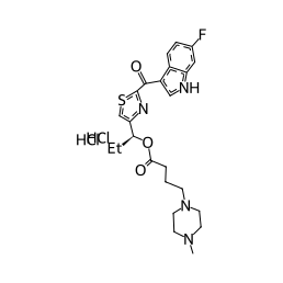 CC[C@H](OC(=O)CCCN1CCN(C)CC1)c1csc(C(=O)c2c[nH]c3cc(F)ccc23)n1.Cl.Cl